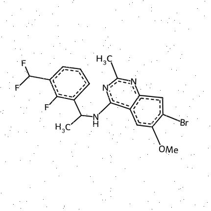 COc1cc2c(NC(C)c3cccc(C(F)F)c3F)nc(C)nc2cc1Br